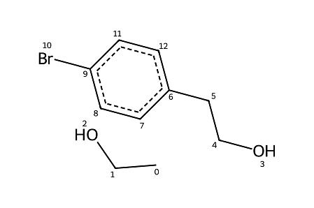 CCO.OCCc1ccc(Br)cc1